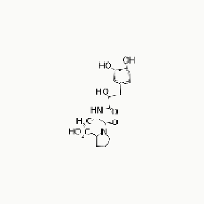 C[C@H](NC(=O)[C@H](O)Cc1ccc(O)c(O)c1)C(=O)N1CCC[C@H]1C(=O)O